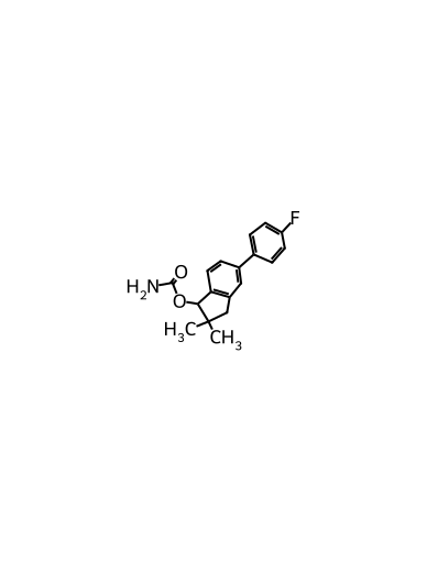 CC1(C)Cc2cc(-c3ccc(F)cc3)ccc2C1OC(N)=O